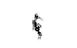 COc1cc(-c2cn[nH]c2)cc(F)c1-c1nnc(N2CC3CN(C)C[C@@]3(N)C2)s1